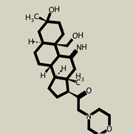 C[C@@]1(O)CC[C@]2(CO)C3C(=N)C[C@]4(C)[C@@H](C(=O)CN5CCOCC5)CC[C@H]4[C@@H]3CC[C@H]2C1